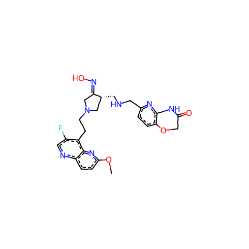 COc1ccc2ncc(F)c(CCN3C/C(=N\O)[C@H](CNCc4ccc5c(n4)NC(=O)CO5)C3)c2n1